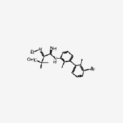 CC/N=C(/C(=N)Nc1cccc(-c2cccc(Br)c2C)c1C)C(C)(C)C=O